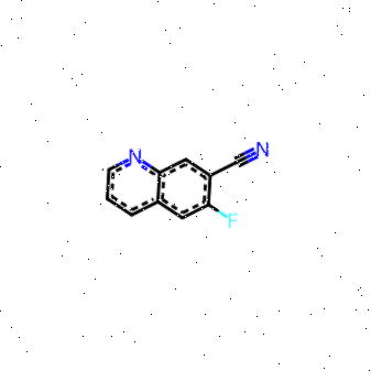 N#Cc1cc2n[c]ccc2cc1F